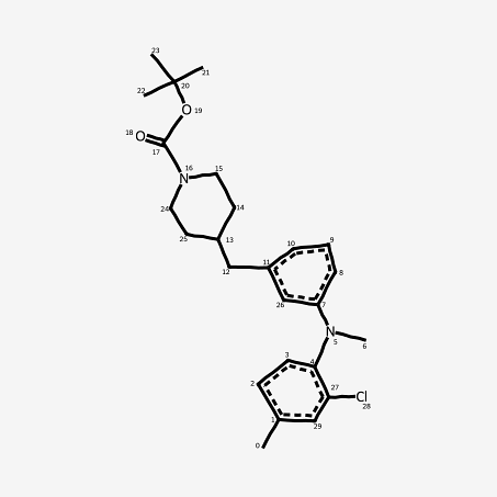 Cc1ccc(N(C)c2cccc(CC3CCN(C(=O)OC(C)(C)C)CC3)c2)c(Cl)c1